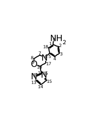 Nc1cccc(N2CCOC(c3ncccn3)C2)c1